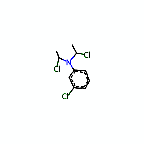 CC(Cl)N(c1cccc(Cl)c1)C(C)Cl